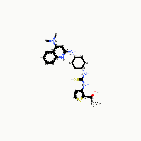 COC(=O)c1sccc1NC(=S)N[C@H]1CC[C@@H](Nc2cc(N(C)C)c3ccccc3n2)CC1